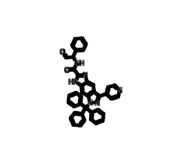 O=CC(NC(=O)c1nc2cc3c(-c4ccncc4)nn(C(c4ccccc4)(c4ccccc4)c4ccccc4)c3cc2[nH]1)c1ccccc1